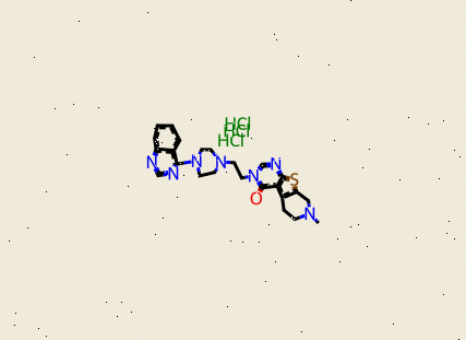 CN1CCc2c(sc3ncn(CCN4CCN(c5ncnc6ccccc56)CC4)c(=O)c23)C1.Cl.Cl.Cl